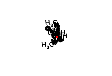 CCn1cc(-c2ccnc3[nH]c(C(=O)NCCN4CCN(C)CC4)cc23)c(-c2ccc(NC(=O)Nc3ccccc3)cc2)n1